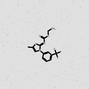 CCOC(=O)N=c1sc(I)cn1-c1cccc(C(F)(F)F)c1